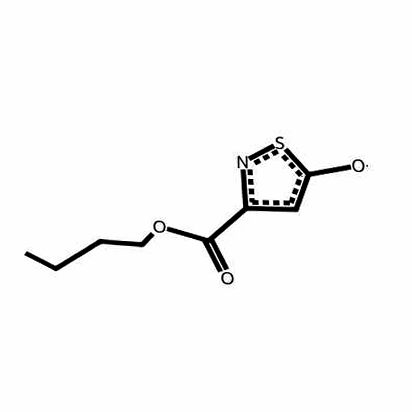 CCCCOC(=O)c1cc([O])sn1